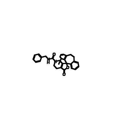 CC1CC=CC2=C1C1(OC(=O)C3=C1CN(C(=O)NCc1ccccc1)CC3)c1ccccc1CC2